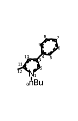 CCCCn1cc(-c2ccccc2)cc1C